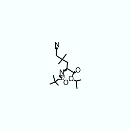 CC(C)OC(=O)C(CC(C)(C)CC#N)=N[S@@+]([O-])C(C)(C)C